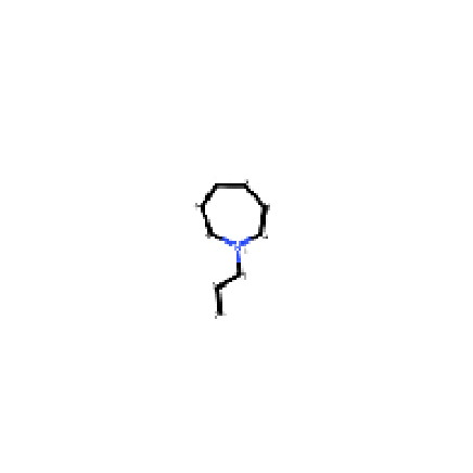 [CH2]CCN1CCCCCC1